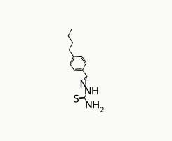 CCCCc1ccc(C=NNC(N)=S)cc1